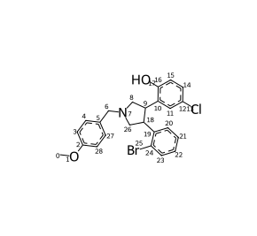 COc1ccc(CN2CC(c3cc(Cl)ccc3O)C(c3ccccc3Br)C2)cc1